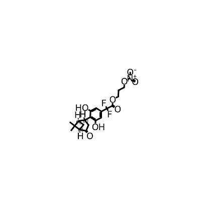 CC1(C)[C@@H]2C[C@H]1C(=O)C[C@H]2c1c(O)cc(C(F)(F)C(=O)OCCCO[N+](=O)[O-])cc1O